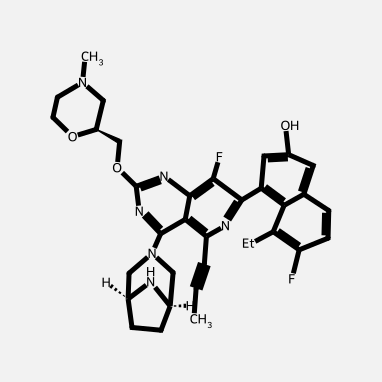 CC#Cc1nc(-c2cc(O)cc3ccc(F)c(CC)c23)c(F)c2nc(OC[C@@H]3CN(C)CCO3)nc(N3C[C@H]4CC[C@@H](C3)N4)c12